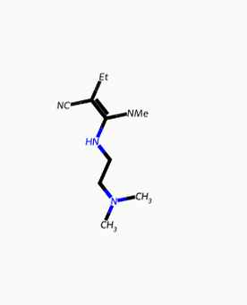 CC/C(C#N)=C(\NC)NCCN(C)C